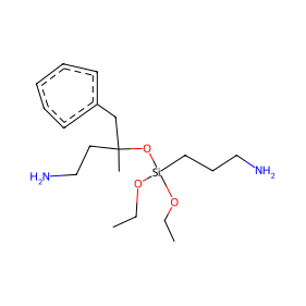 CCO[Si](CCCN)(OCC)OC(C)(CCN)Cc1ccccc1